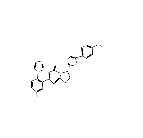 Cc1ccc(-n2cnnn2)c(-c2cc3n(c(=O)c2)[C@H](c2ncc(-c4ccc(NC(=O)O)nc4)[nH]2)CC3)c1